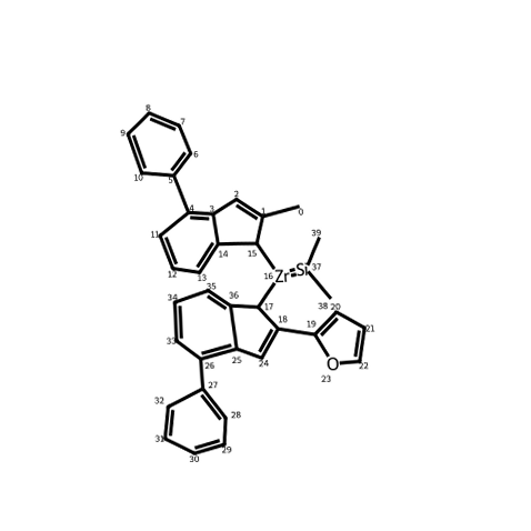 CC1=Cc2c(-c3ccccc3)cccc2[CH]1[Zr]([CH]1C(c2ccco2)=Cc2c(-c3ccccc3)cccc21)=[Si](C)C